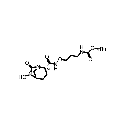 CC(C)(C)OC(=O)NCCCONC(=O)[C@@H]1CCC2CN1C(=O)N2O